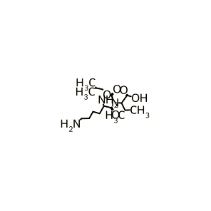 CC(C)COC(=O)N(C(=O)C(N)CCCCN)C(C(=O)O)C(C)C